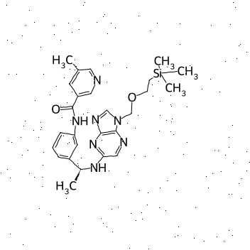 Cc1cncc(C(=O)Nc2cccc([C@H](C)Nc3cnc4c(ncn4COCC[Si](C)(C)C)n3)c2)c1